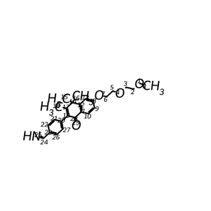 COCCOCCOc1ccc2c(c1)C(C)(C)C(C)=C(c1ccc(C=N)cc1)C2=O